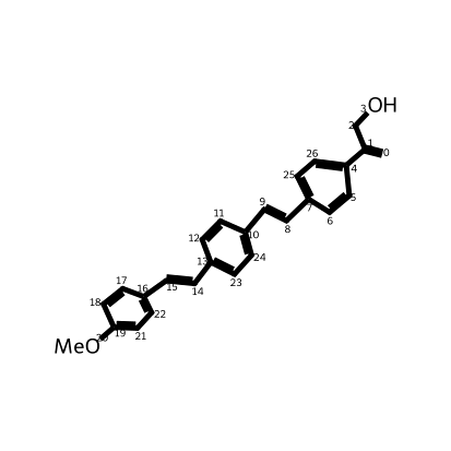 C=C(CO)c1ccc(C=Cc2ccc(C=Cc3ccc(OC)cc3)cc2)cc1